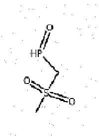 CS(=O)(=O)C[PH]=O